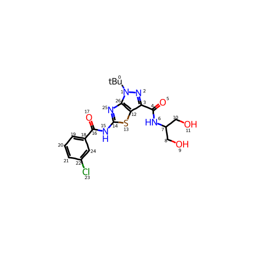 CC(C)(C)n1nc(C(=O)NC(CO)CO)c2sc(NC(=O)c3cccc(Cl)c3)nc21